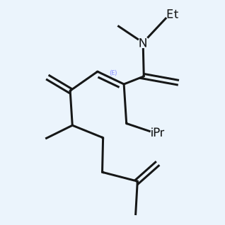 C=C(C)CCC(C)C(=C)/C=C(\CC(C)C)C(=C)N(C)CC